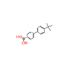 CC(C)(C)c1ccc(-c2ccc(B(O)O)cc2)cc1